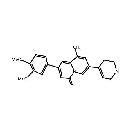 COc1ccc(-c2cc(=O)n3cc(C4=CCNCC4)cc(C)c3c2)cc1OC